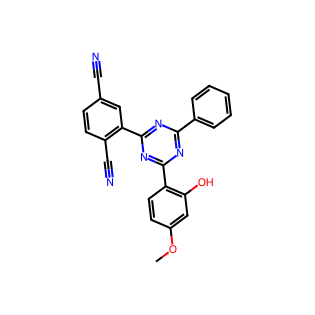 COc1ccc(-c2nc(-c3ccccc3)nc(-c3cc(C#N)ccc3C#N)n2)c(O)c1